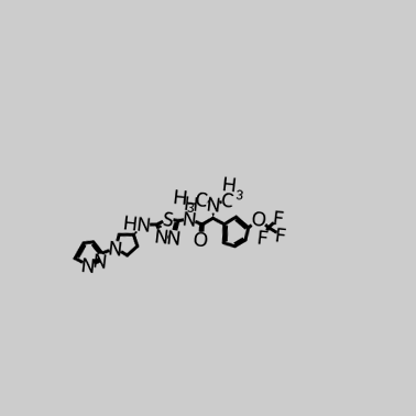 CN(C)[C@@H](C(=O)Nc1nnc(N[C@@H]2CCN(c3cccnn3)C2)s1)c1cccc(OC(F)(F)F)c1